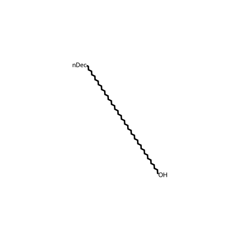 CCCCCCCCCCCCCCCCCCCCCCCCCCCCCCCCCCCCCCCCCCCCCCCCCCCCCCO